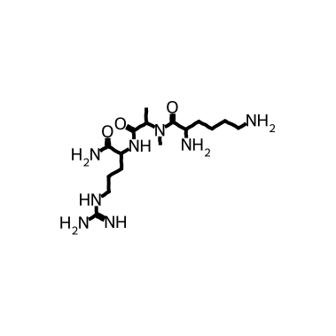 CC(C(=O)NC(CCCNC(=N)N)C(N)=O)N(C)C(=O)C(N)CCCCN